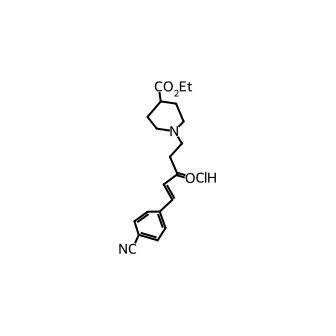 CCOC(=O)C1CCN(CCC(=O)C=Cc2ccc(C#N)cc2)CC1.Cl